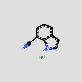 Cl.N#Cc1cccc2cc[nH]c12